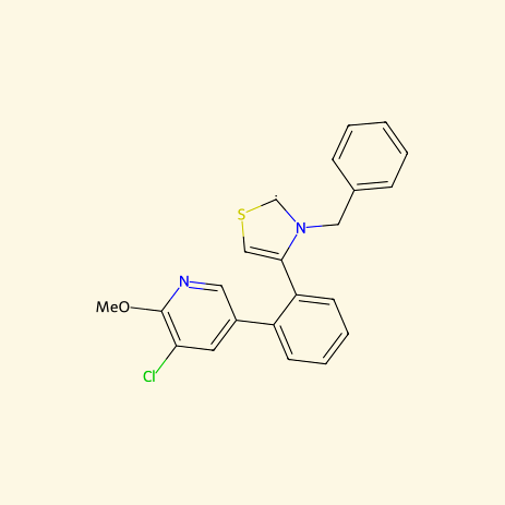 COc1ncc(-c2ccccc2C2=CS[CH]N2Cc2ccccc2)cc1Cl